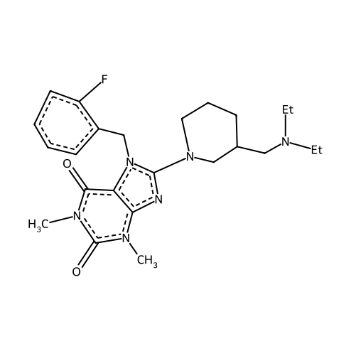 CCN(CC)CC1CCCN(c2nc3c(c(=O)n(C)c(=O)n3C)n2Cc2ccccc2F)C1